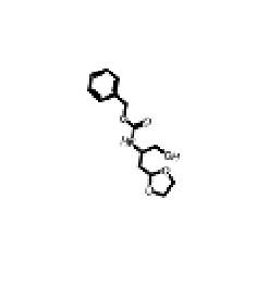 O=C(NC(CO)CC1OCCO1)OCc1ccccc1